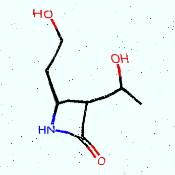 CC(O)C1C(=O)NC1CCO